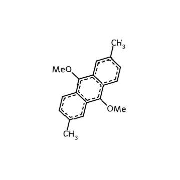 COc1c2ccc(C)cc2c(OC)c2ccc(C)cc12